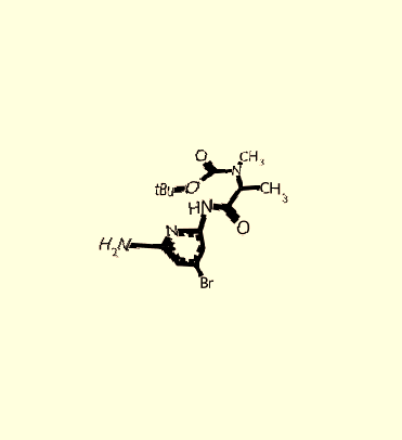 CC(C(=O)Nc1cc(Br)cc(N)n1)N(C)C(=O)OC(C)(C)C